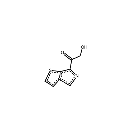 O=C(CO)c1ncn2ccsc12